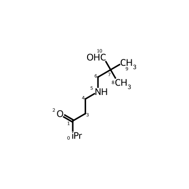 CC(C)C(=O)CCNCC(C)(C)C=O